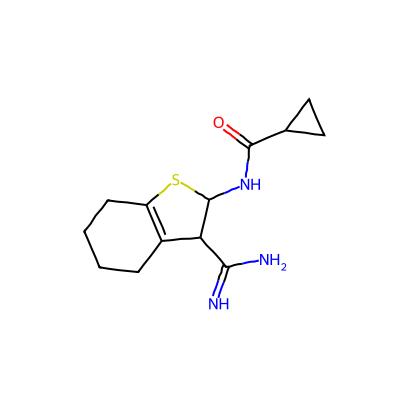 N=C(N)C1C2=C(CCCC2)SC1NC(=O)C1CC1